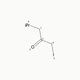 CC(C)CC(=O)CI